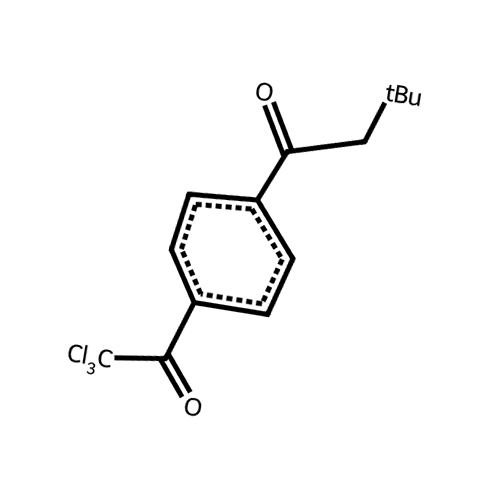 CC(C)(C)CC(=O)c1ccc(C(=O)C(Cl)(Cl)Cl)cc1